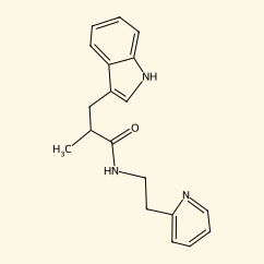 CC(Cc1c[nH]c2ccccc12)C(=O)NCCc1ccccn1